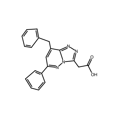 O=C(O)Cc1nnc2c(Cc3ccccc3)cc(-c3ccccc3)nn12